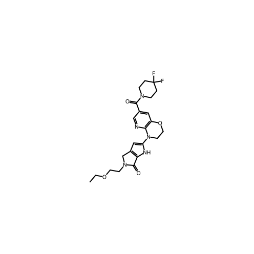 CCOCCN1Cc2cc(N3CCOc4cc(C(=O)N5CCC(F)(F)CC5)cnc43)[nH]c2C1=O